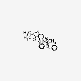 CC(C)n1cnc2c(c1=O)C(Cc1cccc(OCc3ccccc3)c1)C(NS(C)(=O)=O)CC2